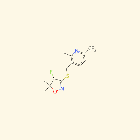 Cc1nc(C(F)(F)F)ccc1CSC1=NOC(C)(C)C1F